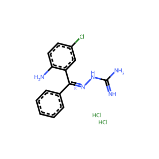 Cl.Cl.N=C(N)N/N=C(/c1ccccc1)c1cc(Cl)ccc1N